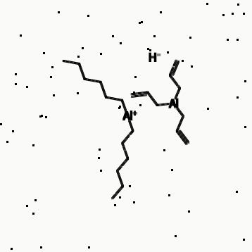 C=C[CH2][Al]([CH2]C=C)[CH2]C=C.CCCCC[CH2][Al+][CH2]CCCCC.[H-]